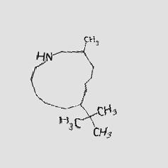 CC1CCCC(C(C)(C)C)CCCCCNC1